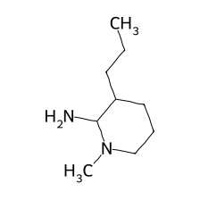 CCCC1CCCN(C)C1N